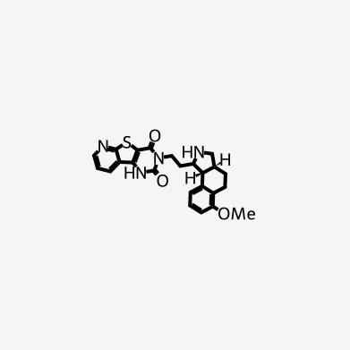 COc1cccc2c1CC[C@@H]1CNC(CCn3c(=O)[nH]c4c(sc5ncccc54)c3=O)[C@@H]21